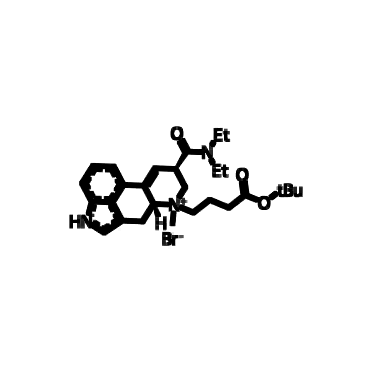 CCN(CC)C(=O)[C@@H]1C=C2c3cccc4[nH]cc(c34)C[C@H]2[N+](C)(CCCC(=O)OC(C)(C)C)C1.[Br-]